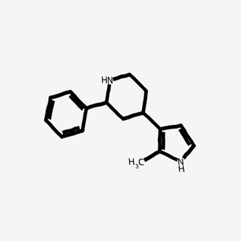 Cc1[nH]ccc1C1CCNC(c2ccccc2)C1